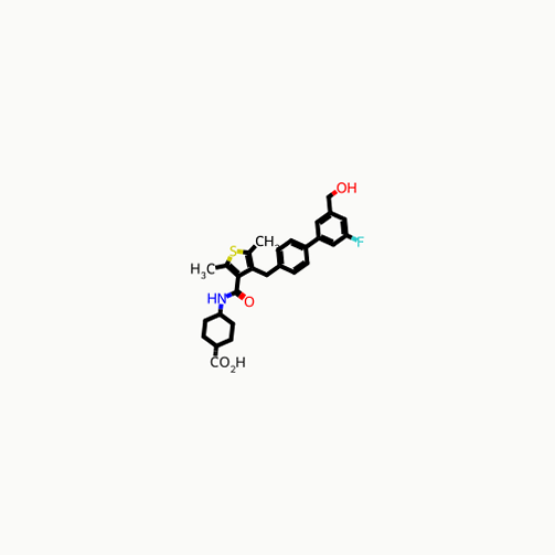 Cc1sc(C)c(C(=O)NC2CCC(C(=O)O)CC2)c1Cc1ccc(-c2cc(F)cc(CO)c2)cc1